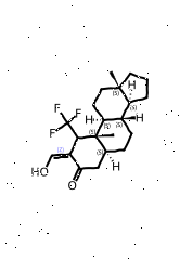 C[C@@]12CCC[C@H]1[C@@H]1CC[C@H]3CC(=O)/C(=C\O)C(C(F)(F)F)[C@]3(C)[C@H]1CC2